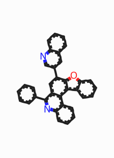 c1ccc(-c2nc3ccccc3c3c2cc(-c2cnc4ccccc4c2)c2oc4ccccc4c23)cc1